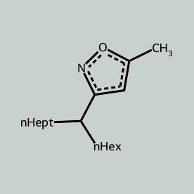 CCCCCCCC(CCCCCC)c1cc(C)on1